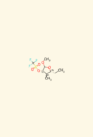 CC[C@H]1OC(OC)[C@@H](OS(=O)(=O)C(F)(F)F)[C@@H]1C